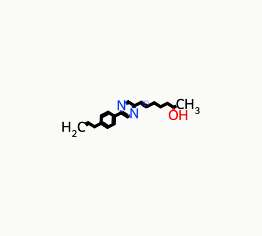 C=CCc1ccc(-c2cnc(/C=C/CCCC(C)O)cn2)cc1